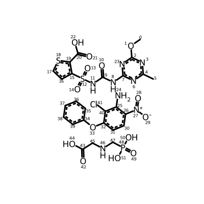 COc1nc(C)nc(NC(=O)NS(=O)(=O)c2ccsc2C(=O)O)n1.Nc1c([N+](=O)[O-])ccc(Oc2ccccc2)c1Cl.O=C(O)CNCP(=O)(O)O